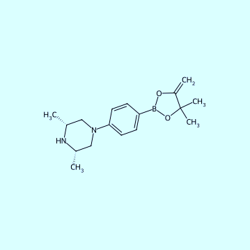 C=C1OB(c2ccc(N3C[C@@H](C)N[C@@H](C)C3)cc2)OC1(C)C